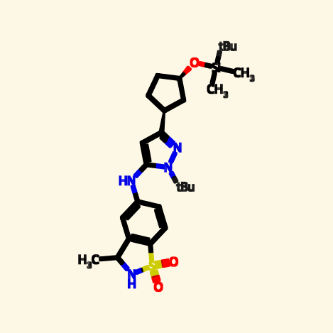 CC1NS(=O)(=O)c2ccc(Nc3cc([C@H]4CC[C@@H](O[Si](C)(C)C(C)(C)C)C4)nn3C(C)(C)C)cc21